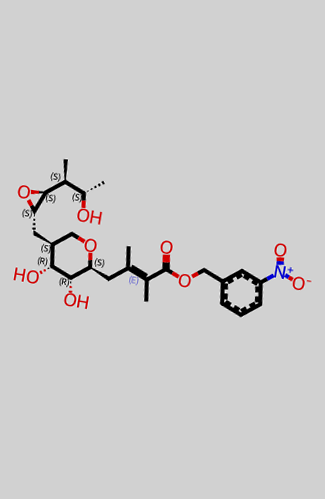 C/C(C[C@@H]1OC[C@H](C[C@@H]2O[C@H]2[C@@H](C)[C@H](C)O)[C@@H](O)[C@H]1O)=C(/C)C(=O)OCc1cccc([N+](=O)[O-])c1